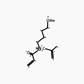 C=C(C)C(=O)O.C=CC(=O)OCCCCOC